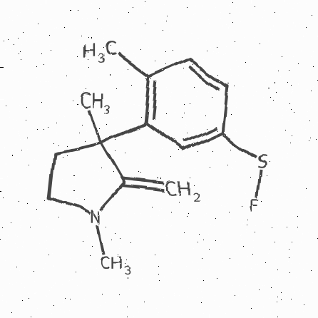 C=C1N(C)CCC1(C)c1cc(SF)ccc1C